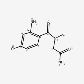 CN(CC(N)=O)C(=O)c1ccc(Cl)cc1N